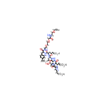 CC(=O)c1ccc(CC(NC(=O)[C@@H](CCCC(=O)O)NC(=O)[C@@H](CCC(=O)O)NC(=O)[C@@H](CC(C=O)CO)NC(=O)[C@@H](CCC(=O)O)NC(=O)[C@H](N)CCCC(=O)O)C(=O)NCCOCCOCC(=O)NCCOCC(C)(C)C)cc1